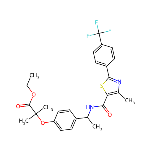 CCOC(=O)C(C)(C)Oc1ccc(C(C)NC(=O)c2sc(-c3ccc(C(F)(F)F)cc3)nc2C)cc1